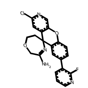 NC1=NC2(CCOC1)c1cc(-c3cccnc3F)ccc1Oc1cnc(Cl)cc12